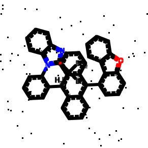 BC(B)(B)c1nc2ccccc2n1-c1ccccc1-c1c2ccccc2c(-c2cccc3oc4ccccc4c23)c2ccccc12